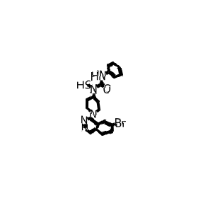 O=C(Nc1ccccc1)N(S)C1CCN(c2nncc3ccc(Br)cc23)CC1